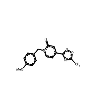 COc1ccc(Cn2ccc(-c3noc(C(F)(F)F)n3)cc2=O)cc1